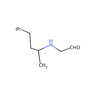 CC(C)CCC(C)NCC=O